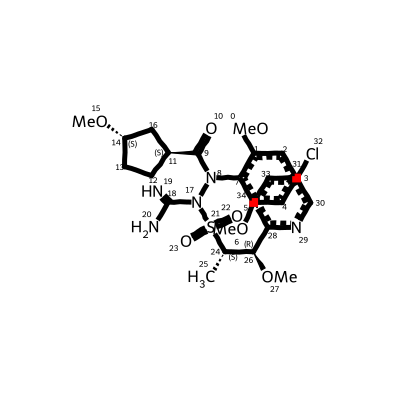 COc1cccc(OC)c1N(C(=O)[C@H]1CC[C@H](OC)C1)N(C(=N)N)S(=O)(=O)[C@@H](C)[C@H](OC)c1ncc(Cl)cn1